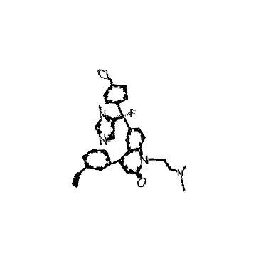 C#Cc1cccc(-c2cc(=O)n(CCN(C)C)c3ccc([C@](F)(c4ccc(Cl)cc4)c4cncn4C)cc23)c1